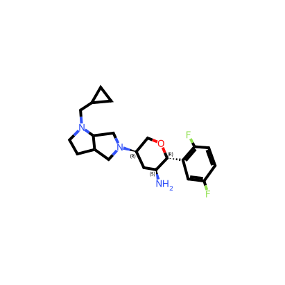 N[C@H]1C[C@@H](N2CC3CCN(CC4CC4)C3C2)CO[C@@H]1c1cc(F)ccc1F